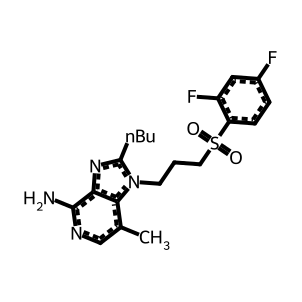 CCCCc1nc2c(N)ncc(C)c2n1CCCS(=O)(=O)c1ccc(F)cc1F